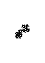 c1ccc(-c2c(-c3ccccc3)c3cc(-c4cccc(N(c5ccccc5)c5cccc6sc7ccccc7c56)c4)ccc3c3ccccc23)cc1